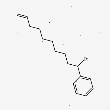 C=CCCCCCCCC(CC)c1ccccc1